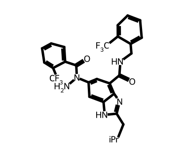 CC(C)Cc1nc2c(C(=O)NCc3ccccc3C(F)(F)F)cc(N(N)C(=O)c3ccccc3C(F)(F)F)cc2[nH]1